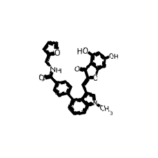 Cn1cc(C=C2Oc3cc(O)cc(O)c3C2=O)c2c(-c3ccc(C(=O)NCc4ccco4)cc3)cccc21